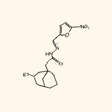 CCC1CC2CCCC(CC(=O)N/N=C/c3ccc([N+](=O)[O-])o3)(C1)C2